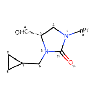 CCCN1C[C@@H](C=O)N(CC2CC2)C1=O